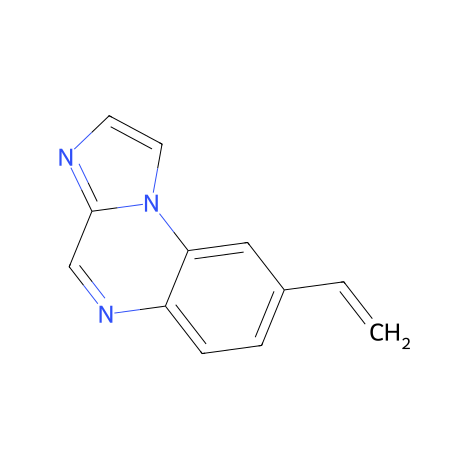 C=Cc1ccc2ncc3nccn3c2c1